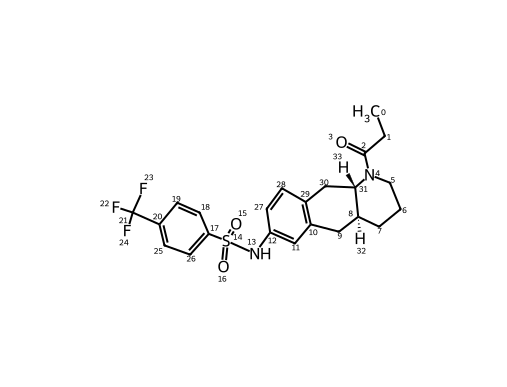 CCC(=O)N1CCC[C@H]2Cc3cc(NS(=O)(=O)c4ccc(C(F)(F)F)cc4)ccc3C[C@@H]21